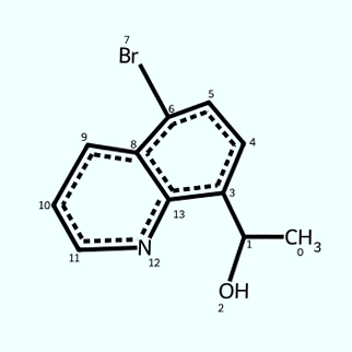 CC(O)c1ccc(Br)c2cccnc12